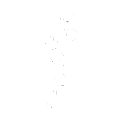 COCCn1c(=O)c2cnc(Nc3ccc(N4CCNCC4)cc3)nc2n1-c1cccc(C(C)(C)O)n1